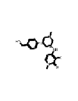 CN1C[C@H](Nc2ccn(C)c(=O)c2Cl)C[C@H](c2ccc(CO)cc2)C1